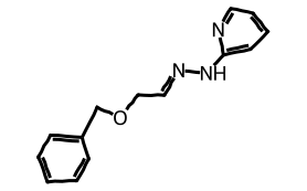 C(COCc1ccccc1)=NNc1ccccn1